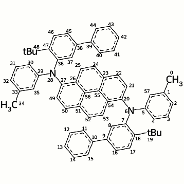 Cc1cccc(N(c2cc(-c3ccccc3)ccc2C(C)(C)C)c2ccc3ccc4c(N(c5cccc(C)c5)c5cc(-c6ccccc6)ccc5C(C)(C)C)ccc5ccc2c3c54)c1